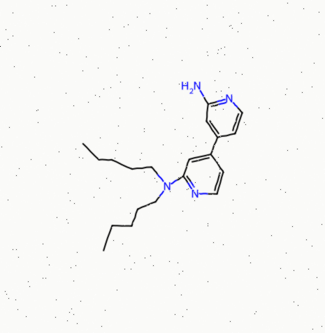 CCCCCN(CCCCC)c1cc(-c2ccnc(N)c2)ccn1